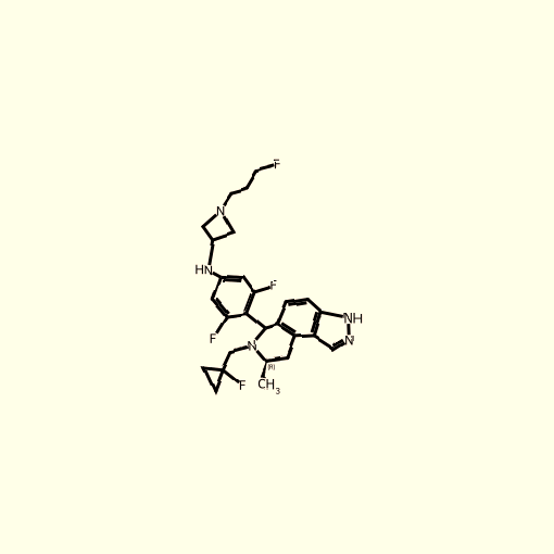 C[C@@H]1Cc2c(ccc3[nH]ncc23)C(c2c(F)cc(NC3CN(CCCF)C3)cc2F)N1CC1(F)CC1